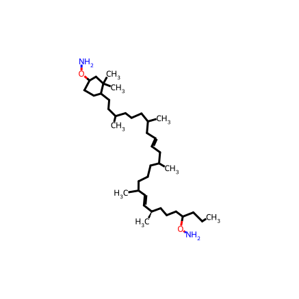 CCCC(CCC[C@@H](C)/C=C/C(C)CCCC(C)C/C=C/CC(C)CCCC(C)CCC1CCC(ON)CC1(C)C)ON